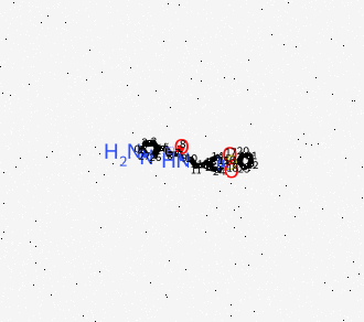 Nc1ccc(/C=C/C(=O)NCCC2C3CN(S(=O)(=O)C4CCCC4)CC23)cn1